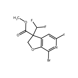 COC(=O)C1(C(F)F)COc2c1cc(I)nc2Br